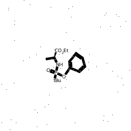 CCOC(=O)[C@H](C)NP(=O)(Oc1ccccc1)C(C)(C)C